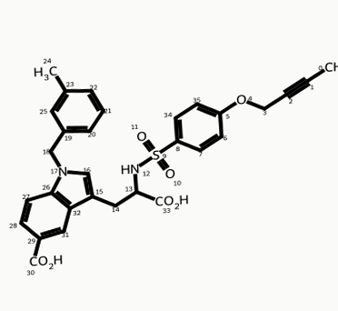 CC#CCOc1ccc(S(=O)(=O)NC(Cc2cn(Cc3cccc(C)c3)c3ccc(C(=O)O)cc23)C(=O)O)cc1